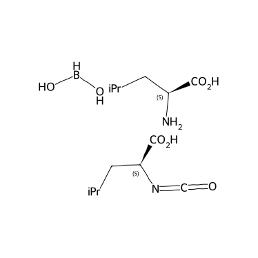 CC(C)C[C@H](N)C(=O)O.CC(C)C[C@H](N=C=O)C(=O)O.OBO